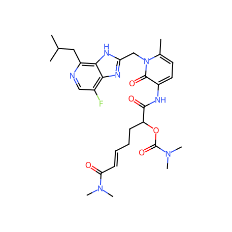 Cc1ccc(NC(=O)C(CC/C=C/C(=O)N(C)C)OC(=O)N(C)C)c(=O)n1Cc1nc2c(F)cnc(CC(C)C)c2[nH]1